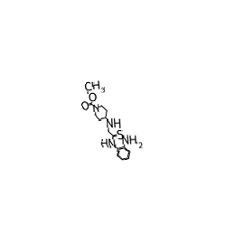 CCOC(=O)N1CCC(NCC(=S)Nc2ccccc2N)CC1